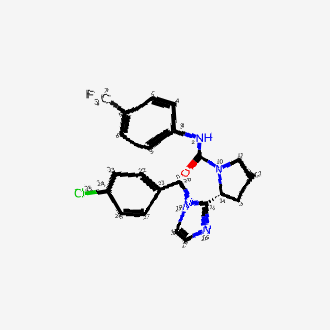 O=C(Nc1ccc(C(F)(F)F)cc1)N1CCC[C@@H]1c1nccn1CC1=CCC(Cl)C=C1